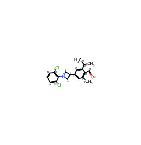 Cc1cc(C2CN(c3c(Cl)cccc3Cl)C2)cc(C(C)C)c1C=O